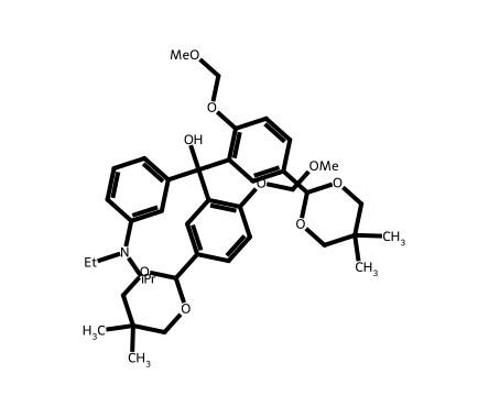 CCN(c1cccc(C(O)(c2cc(C3OCC(C)(C)CO3)ccc2OCOC)c2cc(C3OCC(C)(C)CO3)ccc2OCOC)c1)C(C)C